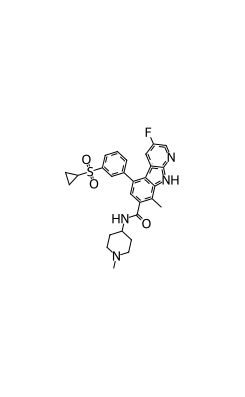 Cc1c(C(=O)NC2CCN(C)CC2)cc(-c2cccc(S(=O)(=O)C3CC3)c2)c2c1[nH]c1ncc(F)cc12